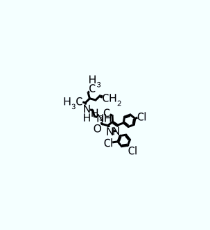 C=CCC(CC)C(C)NCCNC(=O)c1nn(-c2ccc(Cl)cc2Cl)c(-c2ccc(Cl)cc2)c1CC